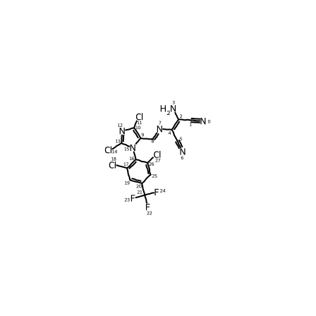 N#CC(N)=C(C#N)N=Cc1c(Cl)nc(Cl)n1-c1c(Cl)cc(C(F)(F)F)cc1Cl